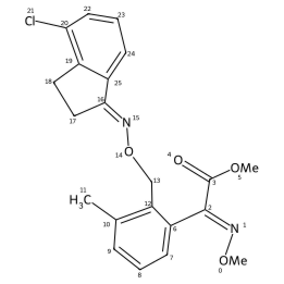 CO/N=C(/C(=O)OC)c1cccc(C)c1CO/N=C1\CCc2c(Cl)cccc21